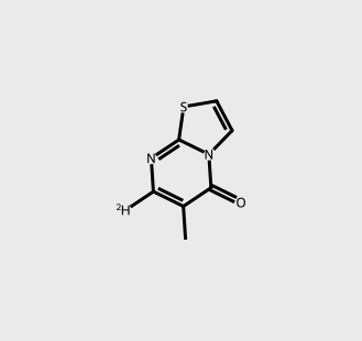 [2H]c1nc2sccn2c(=O)c1C